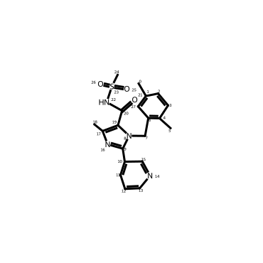 Cc1ccc(C)c(Cn2c(-c3cccnc3)nc(C)c2C(=O)NS(C)(=O)=O)c1